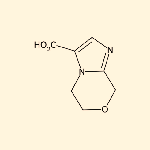 O=C(O)c1cnc2n1CCOC2